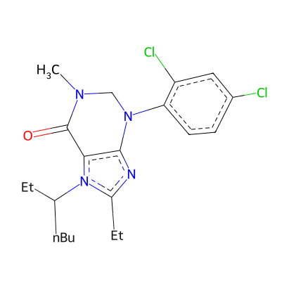 CCCCC(CC)n1c(CC)nc2c1C(=O)N(C)CN2c1ccc(Cl)cc1Cl